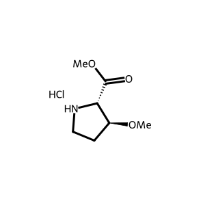 COC(=O)[C@H]1NCC[C@@H]1OC.Cl